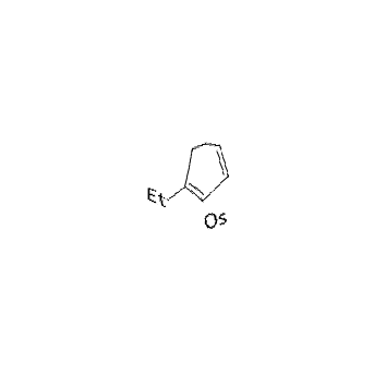 CCC1=CC=CC1.[Os]